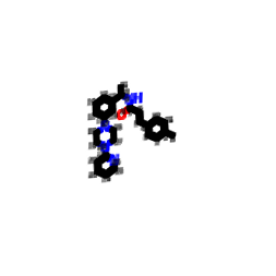 Cc1ccc(C=CC(=O)NC(C)c2cccc(N3CCN(c4ccccn4)CC3)c2)cc1